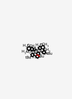 CC(C)(C)c1ccc(N2c3cc(C(C)(C)C)cc4c3B(c3ccc5c6c3N4c3ccc(C(C)(C)C)cc3C6(C)CCC5(C)C)c3sc4cc5c(cc4c32)C(C)(C)CCC5(C)C)c(-c2ccccc2)c1